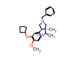 COc1ccc([C@H]2CN(Cc3ccccc3)C[C@@]2(C)C(C)N)cc1OC1CCCC1